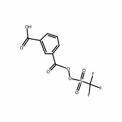 O=C(O)c1cccc(C(=O)OOS(=O)(=O)C(F)(F)F)c1